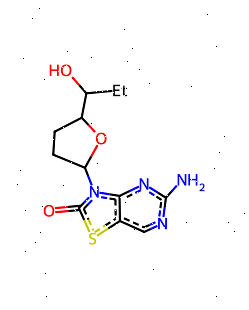 CCC(O)C1CCC(n2c(=O)sc3cnc(N)nc32)O1